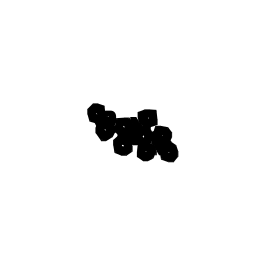 c1ccc(-n2c3ccccc3c3cccc(-c4ccc5c6c4c4ccccc4n6c4ccc(-c6cccc7c6oc6ccccc67)c6c7ccccc7n5c64)c32)cc1